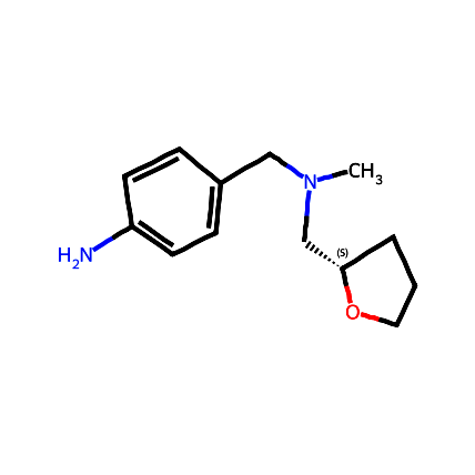 CN(Cc1ccc(N)cc1)C[C@@H]1CCCO1